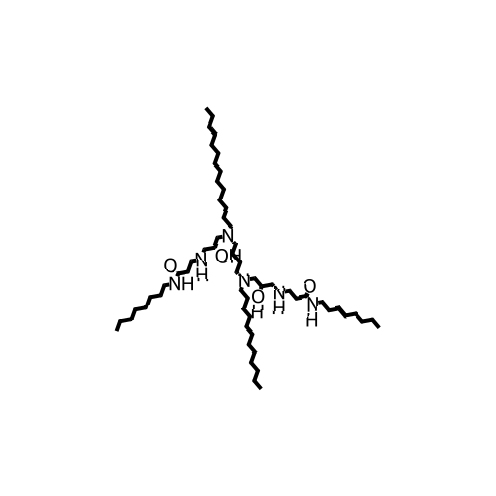 CCCCCCCCCCCCCCN(CCCCN(CCCCCCCCCCCC)CC(O)CNCCC(=O)NCCCCCCCC)CC(O)CNCCC(=O)NCCCCCCCC